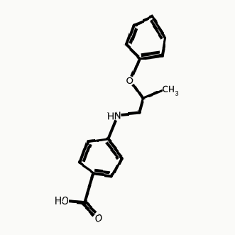 CC(CNc1ccc(C(=O)O)cc1)Oc1ccccc1